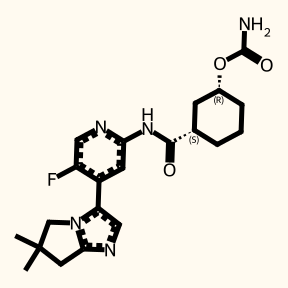 CC1(C)Cc2ncc(-c3cc(NC(=O)[C@H]4CCC[C@@H](OC(N)=O)C4)ncc3F)n2C1